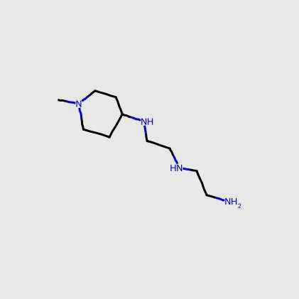 CN1CCC(NCCNCCN)CC1